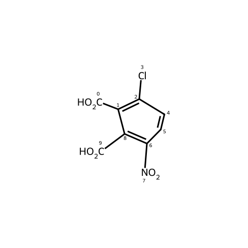 O=C(O)c1c(Cl)ccc([N+](=O)[O-])c1C(=O)O